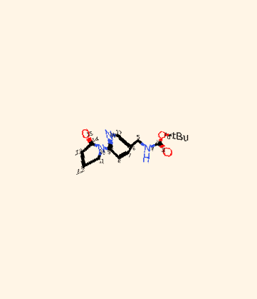 CC(C)(C)OC(=O)NCc1ccc(N2CCCC2=O)nc1